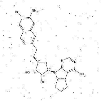 Nc1nc2cc(CC[C@H]3O[C@@H](n4c5c(c6c(N)ncnc64)CCC5)[C@H](O)[C@@H]3O)ccc2cc1Br